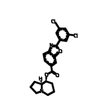 O=C(O[C@H]1CCCN2CCC[C@@H]12)c1ccc2nc(-c3cc(Cl)cc(Cl)c3)oc2c1